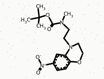 CN(CCN1CCOc2ccc([N+](=O)[O-])cc21)C(=O)OC(C)(C)C